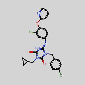 O=c1[nH]/c(=N\c2ccc(Oc3ccccn3)c(F)c2)n(Cc2ccc(Cl)cc2)c(=O)n1CC1CC1